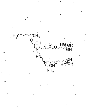 CCCCC(CC)COCC(O)CN(CCNCCN(CCN)CC(O)COCCC[Si](O)(O)O)CCNCC(O)COCCC[Si](O)(O)O